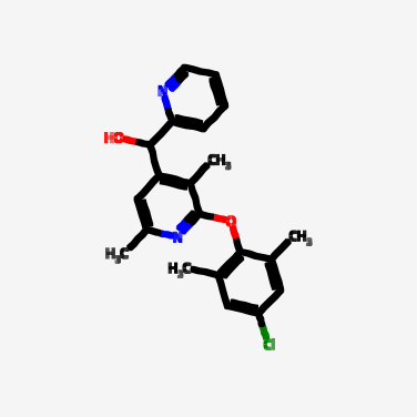 Cc1cc(C(O)c2ccccn2)c(C)c(Oc2c(C)cc(Cl)cc2C)n1